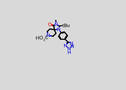 CN1C(=O)C2(CCN(C(=O)O)CC2)N(c2ccc(-c3nn[nH]n3)cc2)C1C(C)(C)C